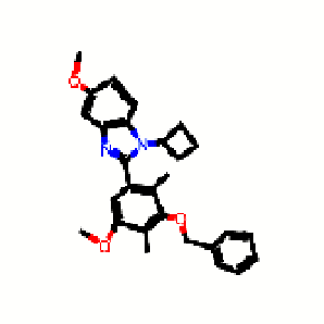 COc1ccc2c(c1)nc(-c1cc(OC)c(C)c(OCc3ccccc3)c1C)n2C1CCC1